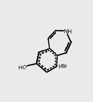 Br.Oc1ccc2c(c1)C=CNC=C2